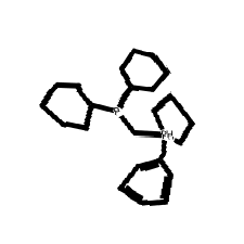 c1ccc([PH]2(CP(C3CCCCC3)C3CCCCC3)CCCC2)cc1